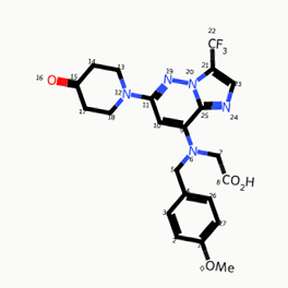 COc1ccc(CN(CC(=O)O)c2cc(N3CCC(=O)CC3)nn3c(C(F)(F)F)cnc23)cc1